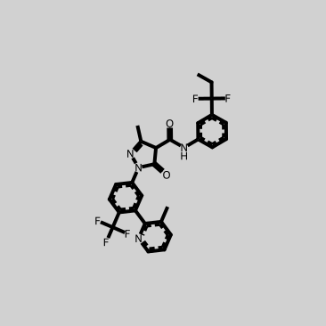 CCC(F)(F)c1cccc(NC(=O)C2C(=O)N(c3ccc(C(F)(F)F)c(-c4ncccc4C)c3)N=C2C)c1